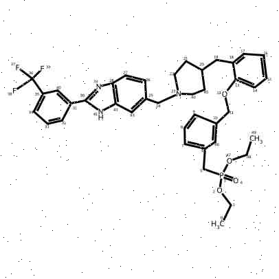 CCOP(=O)(Cc1cccc(COc2ccccc2CC2CCN(Cc3ccc4nc(-c5cccc(C(F)(F)F)c5)[nH]c4c3)CC2)c1)OCC